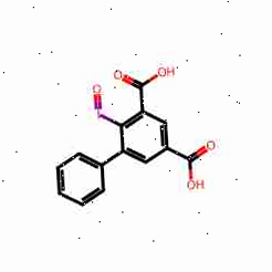 O=Ic1c(C(=O)O)cc(C(=O)O)cc1-c1ccccc1